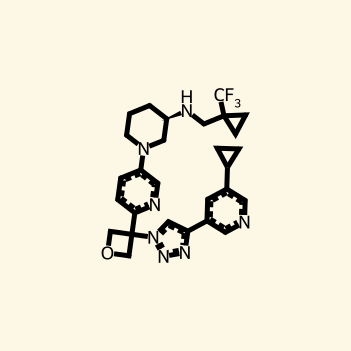 FC(F)(F)C1(CN[C@@H]2CCCN(c3ccc(C4(n5cc(-c6cncc(C7CC7)c6)nn5)COC4)nc3)C2)CC1